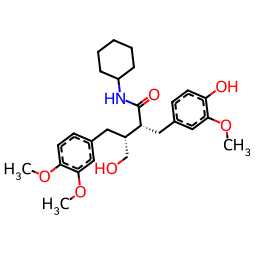 COc1cc(C[C@@H](C(=O)NC2CCCCC2)[C@H](CO)Cc2ccc(OC)c(OC)c2)ccc1O